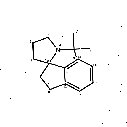 CC(C)(C)N1CCCC12CCc1ccccc12